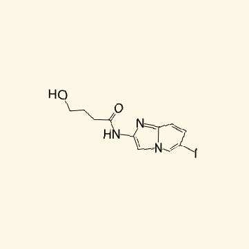 O=C(CCCO)Nc1cn2cc(I)ccc2n1